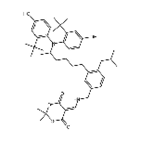 CC(C)Cc1ccc(CNC=C2C(=O)OC(C)(C)OC2=O)cc1CCCCC(C)N(c1ccc(O)cc1C(C)(C)C)c1ccc(O)cc1C(C)(C)C